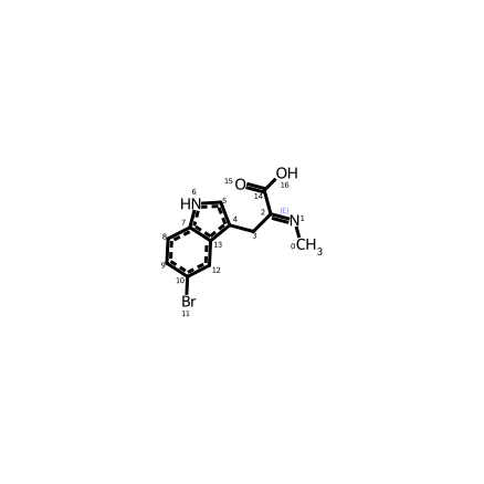 C/N=C(\Cc1c[nH]c2ccc(Br)cc12)C(=O)O